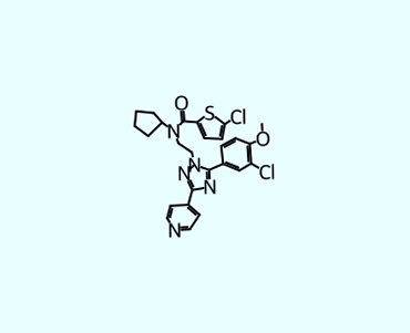 COc1ccc(-c2nc(-c3ccncc3)nn2CCN(C(=O)c2ccc(Cl)s2)C2CCCC2)cc1Cl